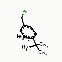 CC(C)(C)c1ccc(CBr)cc1.[MgH2]